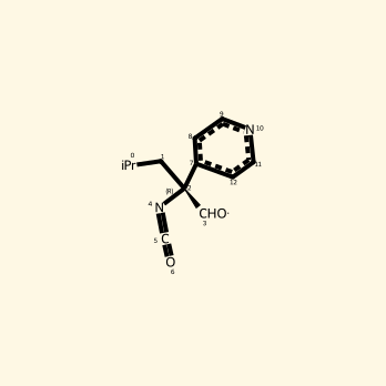 CC(C)C[C@@]([C]=O)(N=C=O)c1ccncc1